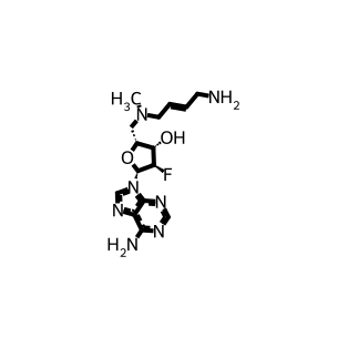 CN(C/C=C/CN)C[C@H]1O[C@@H](n2cnc3c(N)ncnc32)[C@H](F)[C@H]1O